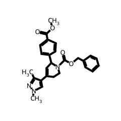 COC(=O)c1ccc(C2C=C(c3cn(C)nc3C)CCN2C(=O)OCc2ccccc2)cc1